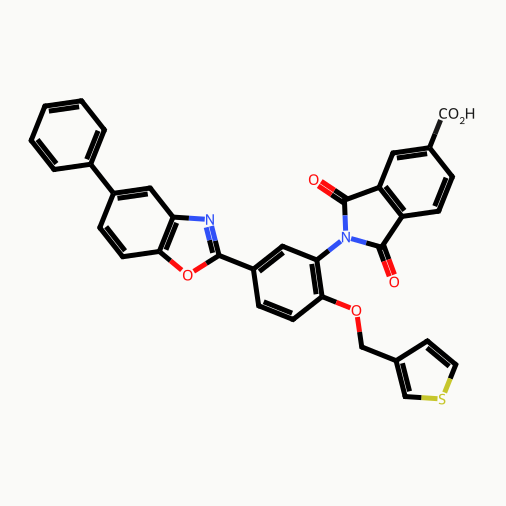 O=C(O)c1ccc2c(c1)C(=O)N(c1cc(-c3nc4cc(-c5ccccc5)ccc4o3)ccc1OCc1ccsc1)C2=O